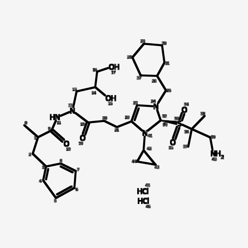 CC(Cc1ccccc1)C(=O)NN(CC(O)CO)C(=O)CCC1=CN(CC2CCCCC2)[C@@H](S(=O)(=O)C(C)(C)CN)N1C1CC1.Cl.Cl